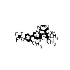 Cc1cc(OC(F)(F)F)ccc1-c1ccc(C(O)(c2cncnc2)C(C)(C)C)nc1